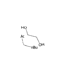 CCCCCC(C)=O.OCCO